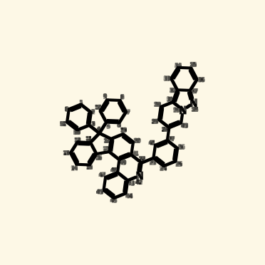 c1ccc(C2(c3ccccc3)c3ccccc3-c3c2ccc2c(-c4cccc(-c5ccc6c7ccccc7nn6c5)c4)nc4ccccc4c32)cc1